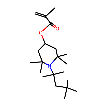 C=C(C)C(=O)OC1CC(C)(C)N(C(C)(C)CC(C)(C)C)C(C)(C)C1